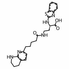 O=C(CCCCc1ccc2c(n1)NCCC2)NCC[C@@H](Nc1nc2ccccc2s1)C(=O)O